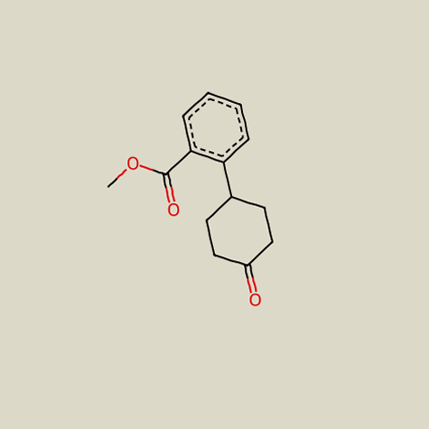 COC(=O)c1ccccc1C1CCC(=O)CC1